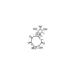 CC[C@H]1OC(=O)[C@H](C)C(=O)[C@H](C)[C@@H](O[C@@H]2O[C@H](C)[C@@H](O)[C@H](N(C)C)[C@H]2O)[C@](C)(OC)C[C@@H](C)C(=O)[C@H](C)[C@@H](O)[C@]1(C)O